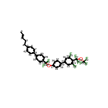 C/C=C/CCc1ccc(-c2ccc(C(F)(F)Oc3ccc(-c4cc(F)c(C(F)(F)OC(F)(F)F)c(F)c4)cc3)cc2)cc1